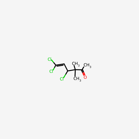 CC(=O)C(C)(C)C(Cl)C=C(Cl)Cl